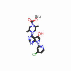 CC1CN(c2ncnc3c2c(O)cn3-c2cc(Cl)ccn2)C(C)CN1C(=O)OC(C)(C)C